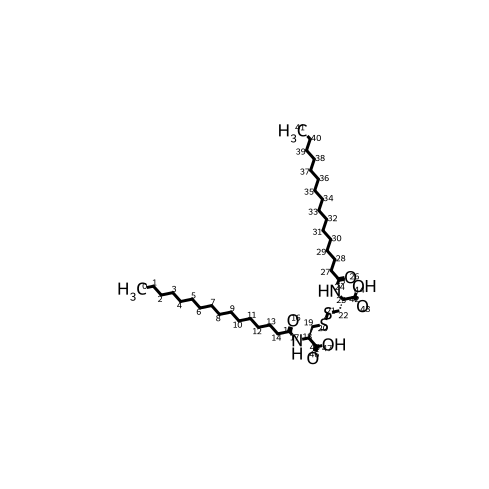 CCCCCCCCCCCCCCCC(=O)N[C@@H](CSSC[C@H](NC(=O)CCCCCCCCCCCCCCC)C(=O)O)C(=O)O